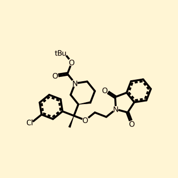 CC(C)(C)OC(=O)N1CCC[C@@H]([C@](C)(OCCN2C(=O)c3ccccc3C2=O)c2cccc(Cl)c2)C1